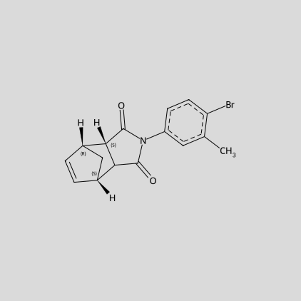 Cc1cc(N2C(=O)C3[C@@H]4C=C[C@@H](C4)[C@@H]3C2=O)ccc1Br